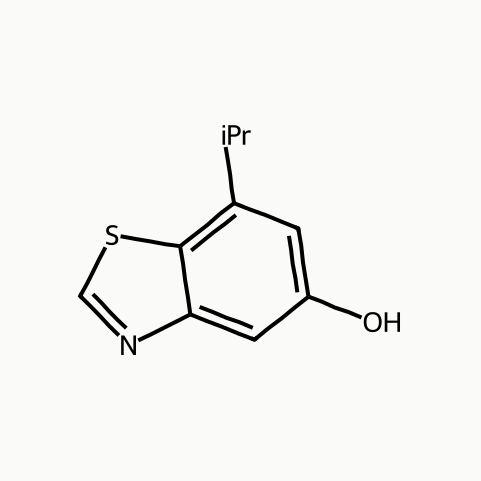 CC(C)c1cc(O)cc2ncsc12